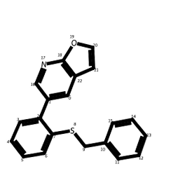 [c]1c(-c2ccccc2SCc2ccccc2)cnc2occc12